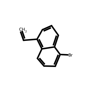 C=Cc1cccc2c(Br)cccc12